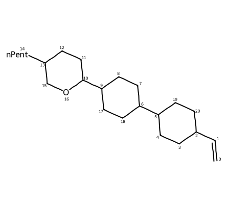 C=CC1CCC(C2CCC(C3CCC(CCCCC)CO3)CC2)CC1